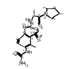 Cc1c(NC(N)=O)ccc2nc(N[C@@H](C)C(=O)N3CCCC3)oc(=O)c12